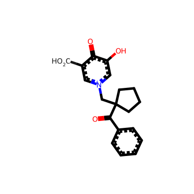 O=C(O)c1cn(CC2(C(=O)c3ccccc3)CCCC2)cc(O)c1=O